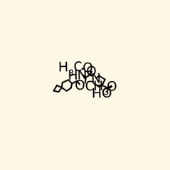 CC(=O)NC(C(=O)N1CCC(C(=O)O)CC1)C(C)OCC1CCC2(CCC2)CC1